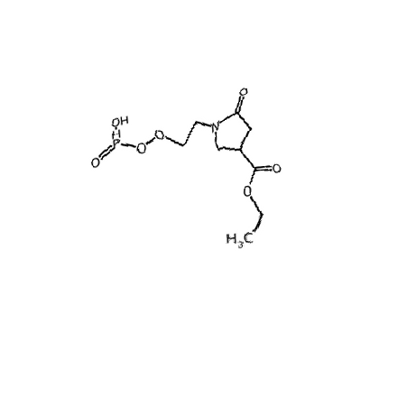 CCOC(=O)C1CC(=O)N(CCOO[PH](=O)O)C1